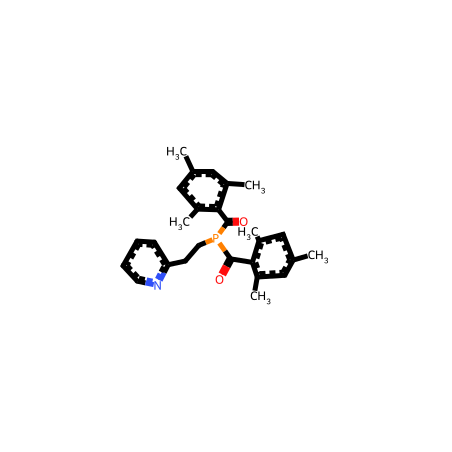 Cc1cc(C)c(C(=O)P(CCc2ccccn2)C(=O)c2c(C)cc(C)cc2C)c(C)c1